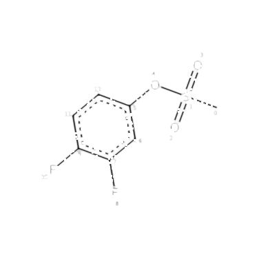 CS(=O)(=O)Oc1[c]c(F)c(F)cc1